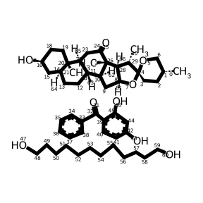 C[C@@H]1CC[C@@]2(OC1)O[C@H]1C[C@H]3[C@@H]4CC[C@H]5C[C@@H](O)CC[C@]5(C)[C@H]4CC(=O)[C@]3(C)[C@H]1[C@@H]2C.O=C(c1ccccc1)c1ccc(O)cc1O.OCCCCCCCCCCCCO